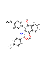 COc1ccc(C2=C(NC(=O)c3ccc(C)cc3)C(=O)c3ccccc3C2=O)cc1